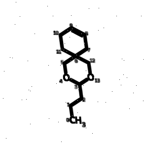 CCCC1OCC2(CC=CCC2)CO1